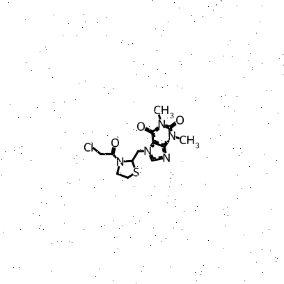 Cn1c(=O)c2c(ncn2CC2SCCN2C(=O)CCl)n(C)c1=O